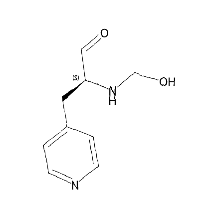 O=C[C@H](Cc1ccncc1)NCO